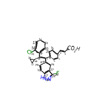 O=C(O)C=Cc1ccc(C(=C(c2ccccc2Cl)C2CC2)c2ccc3[nH]nc(F)c3c2)cc1